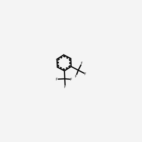 FC(F)(F)c1c[c][c]cc1C(F)(F)F